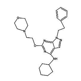 c1ccc(CCn2ncc3c(NC4CCCCC4)nc(OCCN4CCOCC4)nc32)cc1